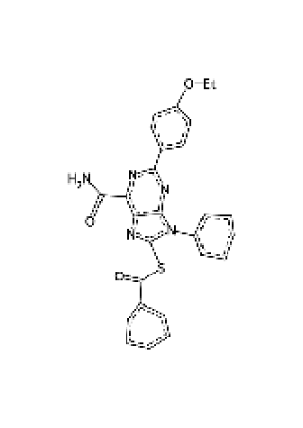 CCOc1ccc(-c2nc(C(N)=O)c3nc(SC(=O)c4ccccc4)n(-c4ccccc4)c3n2)cc1